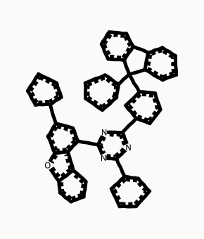 c1ccc(-c2cc(-c3nc(-c4ccccc4)nc(-c4cccc(C5(c6ccccc6)c6ccccc6-c6ccccc65)c4)n3)c3c(c2)oc2ccccc23)cc1